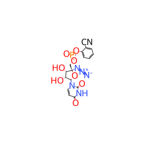 N#Cc1ccccc1O[P](=O)OC[C@@]1(N=[N+]=[N-])O[C@@H](n2ccc(=O)[nH]c2=O)[C@H](O)[C@@H]1O